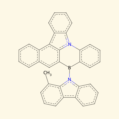 Cc1cccc2c3ccccc3n(B3c4ccccc4-n4c5ccccc5c5c6ccccc6cc3c54)c12